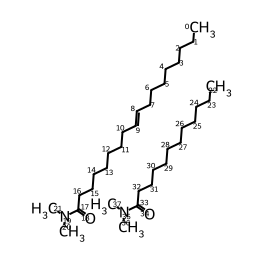 CCCCCCCCC=CCCCCCCCC(=O)N(C)C.CCCCCCCCCCCC(=O)N(C)C